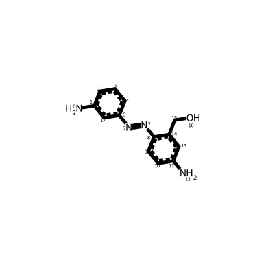 Nc1cccc(/N=N/c2ccc(N)cc2CO)c1